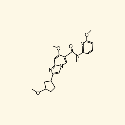 COc1cccc(NC(=O)c2cn3cc(C4CCC(OC)C4)nc3cc2OC)n1